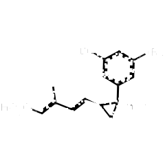 CCC[C@]1(c2cc(C(C)(C)C)cc(C(C)(C)C)c2)C[C@H]1/C=C/C(C)=C/C(=O)O